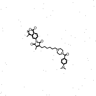 CC1=C(CCCCCCN2CCN(C(=O)c3ccc(N(C)C)cc3)CC2)C(=O)N(c2ccc3c(=O)onc(C)c3c2)C1=O